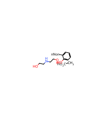 CC(=O)O.CCCCCCCCCc1ccccc1O.OCCNCCO